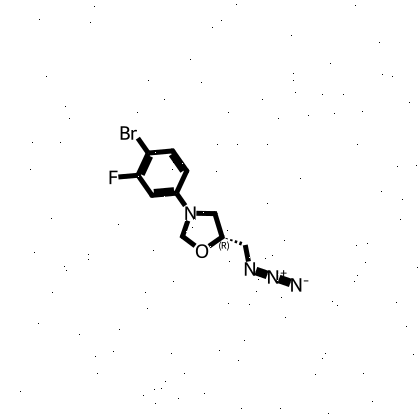 [N-]=[N+]=NC[C@H]1CN(c2ccc(Br)c(F)c2)CO1